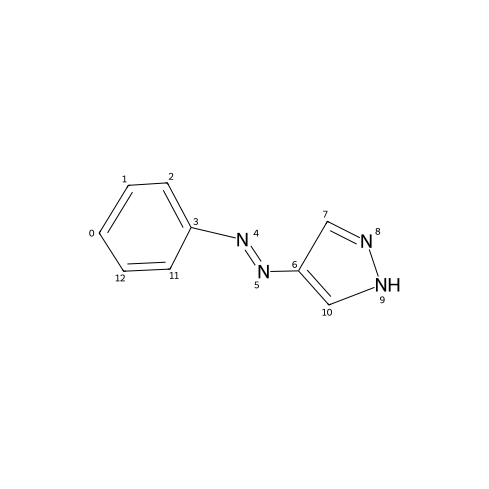 c1ccc(N=Nc2cn[nH]c2)cc1